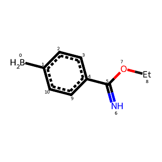 Bc1ccc(C(=N)OCC)cc1